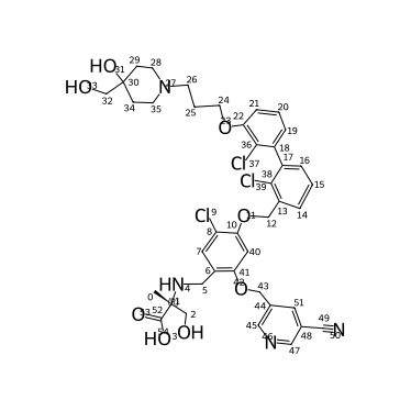 C[C@](CO)(NCc1cc(Cl)c(OCc2cccc(-c3cccc(OCCCN4CCC(O)(CO)CC4)c3Cl)c2Cl)cc1OCc1cncc(C#N)c1)C(=O)O